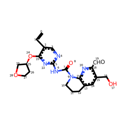 C=Cc1cnc(NC(=O)N2CCCc3cc(CO)c(C=O)nc32)nc1O[C@H]1CCOC1